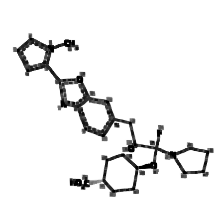 Cn1cccc1-c1nc2ccc(CC(=O)C(F)(O[C@H]3CC[C@H](C(=O)O)CC3)N3CCCC3)cc2o1